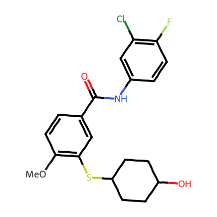 COc1ccc(C(=O)Nc2ccc(F)c(Cl)c2)cc1SC1CCC(O)CC1